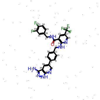 Nc1n[nH]c2ncc(-c3ccc(CNc4ncc(C(F)(F)F)cc4C(=O)NCc4ccc(F)c(F)c4)cc3)cc12